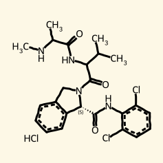 CNC(C)C(=O)NC(C(=O)N1Cc2ccccc2[C@H]1C(=O)Nc1c(Cl)cccc1Cl)C(C)C.Cl